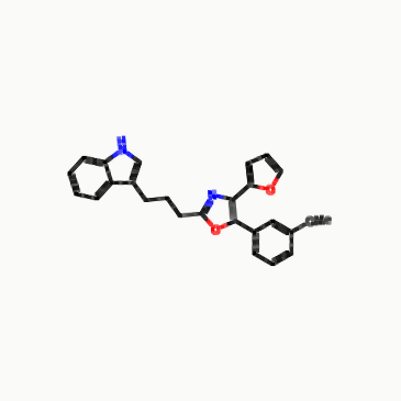 COc1cccc(-c2oc(CCCc3c[nH]c4ccccc34)nc2-c2ccco2)c1